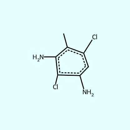 Cc1c(Cl)cc(N)c(Cl)c1N